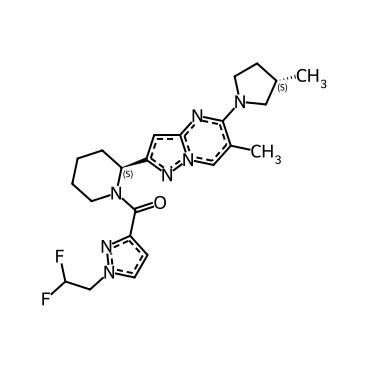 Cc1cn2nc([C@@H]3CCCCN3C(=O)c3ccn(CC(F)F)n3)cc2nc1N1CC[C@H](C)C1